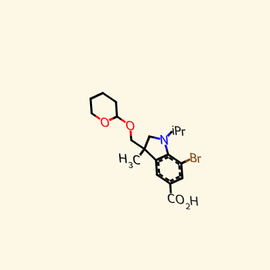 CC(C)N1CC(C)(COC2CCCCO2)c2cc(C(=O)O)cc(Br)c21